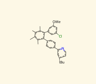 COc1cc(Cl)cc(-c2c(C)c(C)c(C)c(C)c2-c2ccc(-c3cc(C(C)(C)C)ccn3)cc2)c1